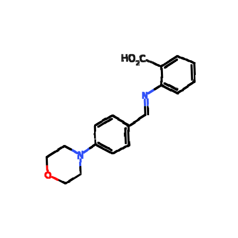 O=C(O)c1ccccc1/N=C/c1ccc(N2CCOCC2)cc1